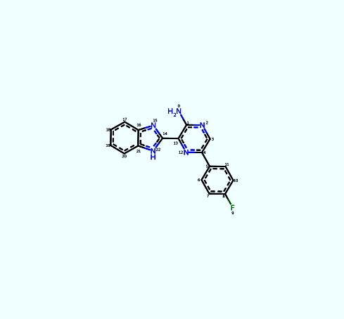 Nc1ncc(-c2ccc(F)cc2)nc1-c1nc2ccccc2[nH]1